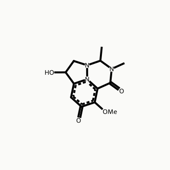 COc1c2n3c(cc1=O)C(O)CN3C(C)N(C)C2=O